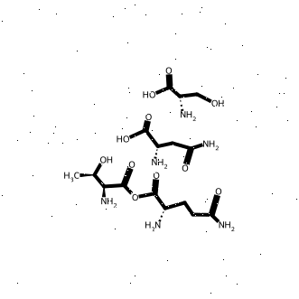 C[C@@H](O)[C@H](N)C(=O)OC(=O)[C@@H](N)CCC(N)=O.NC(=O)C[C@H](N)C(=O)O.N[C@@H](CO)C(=O)O